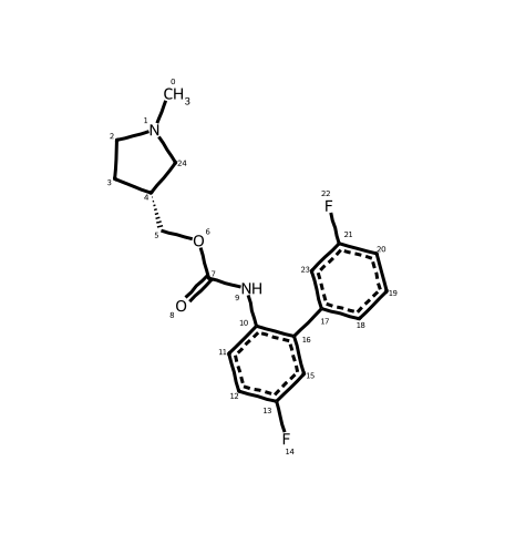 CN1CC[C@@H](COC(=O)Nc2ccc(F)cc2-c2cccc(F)c2)C1